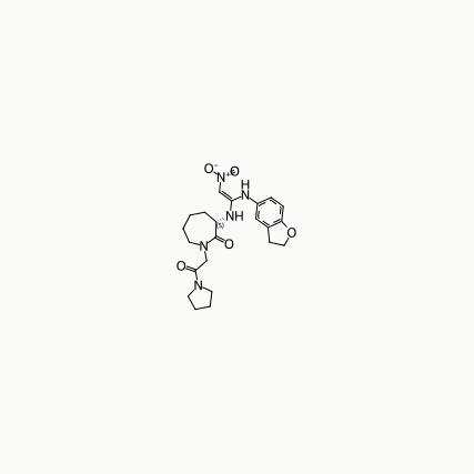 O=C(CN1CCCC[C@H](NC(=C[N+](=O)[O-])Nc2ccc3c(c2)CCO3)C1=O)N1CCCC1